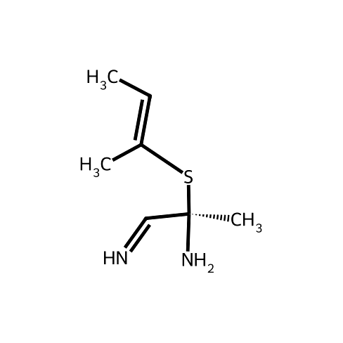 C/C=C(\C)S[C@@](C)(N)C=N